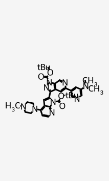 CN1CCN(c2ccnc3c2cc(-c2nn(C(=O)OC(C)(C)C)c4cnc(-c5cncc(N(C)C)c5)cc24)n3C(=O)OC(C)(C)C)CC1